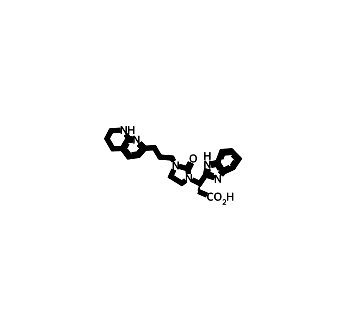 O=C(O)C[C@@H](c1nc2ccccc2[nH]1)N1CCN(CCCc2ccc3c(n2)NCCC3)C1=O